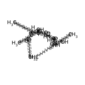 CCCCCCCCCCCCCC(=O)N[C@H](COCC[C@H](O)CCCCCCC)COP(=O)(O)OCCNC(=O)CC(=O)NCCOP(=O)(O)OC[C@@H](COCC[C@@H](CCCCCCC)OC(=O)CCCCCCCCCCC)NC(=O)CCCCCCCCCCCCC